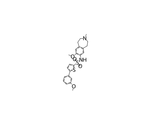 COc1cccc(-c2ccc(S(=O)(=O)Nc3cc4c(cc3OC)CCN(C)CC4)s2)c1